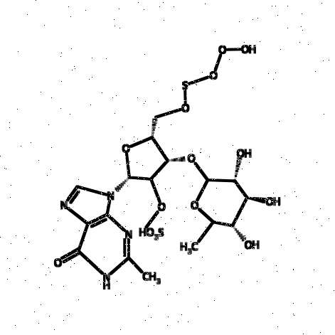 Cc1nc2c(ncn2[C@@H]2O[C@H](COSOOO)[C@H](OC3OC(C)[C@@H](O)[C@H](O)[C@H]3O)C2OS(=O)(=O)O)c(=O)[nH]1